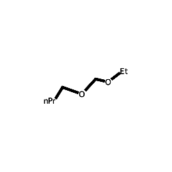 [CH2]CCCOCOCC